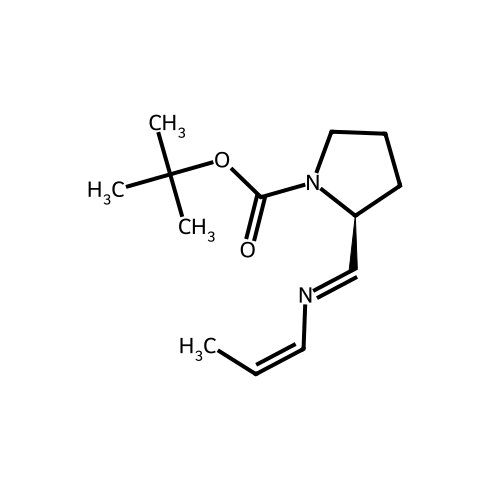 C/C=C\N=C\[C@@H]1CCCN1C(=O)OC(C)(C)C